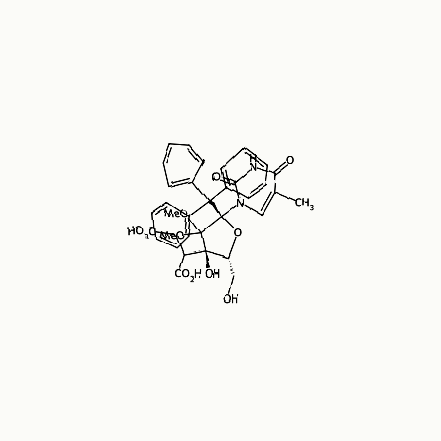 COC1(OC)[C@@](n2cc(C)c(=O)[nH]c2=O)(C(c2ccccc2)(c2ccccc2)c2ccccc2)O[C@H](CO)[C@]1(O)C(CC(=O)O)C(=O)O